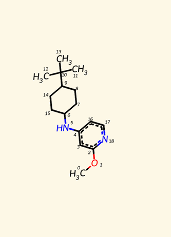 COc1cc(NC2CCC(C(C)(C)C)CC2)ccn1